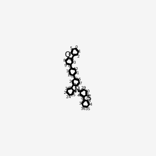 c1ccc2c(c1)oc1ccc(-c3ccc(-c4ccc5c(c4)c4ccccc4n5-c4ccc5sc6ccccc6c5c4)cc3)cc12